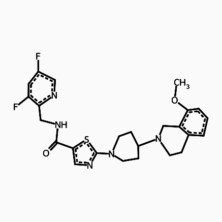 COc1cccc2c1CN(C1CCN(c3ncc(C(=O)NCc4ncc(F)cc4F)s3)CC1)CC2